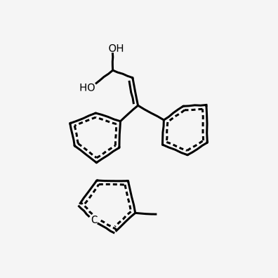 Cc1ccccc1.OC(O)C=C(c1ccccc1)c1ccccc1